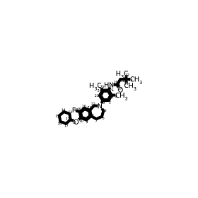 Cc1cc(N2CCCc3cc(OC4CCCCC4)c(F)cc3C2)cc(C)c1NC(=O)CC(C)(C)C